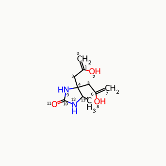 C=C(O)CC1(CC(=C)O)NC(=O)NC1C